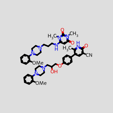 COc1ccccc1N1CCN(CC(O)COc2ccc(-c3cc(C#N)c(=O)[nH]c3C)cc2)CC1.COc1ccccc1N1CCN(CCCNc2cc(=O)n(C)c(=O)n2C)CC1